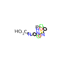 CC(C)Oc1c(Cl)cccc1-c1cnc(C(=O)Nc2ccc(CN3CC(C(=O)O)C3)cc2Cl)s1